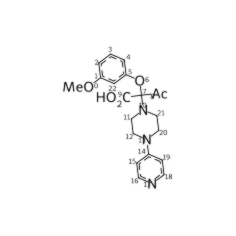 COc1cccc(OC(C(C)=O)(C(=O)O)N2CCN(c3ccncc3)CC2)c1